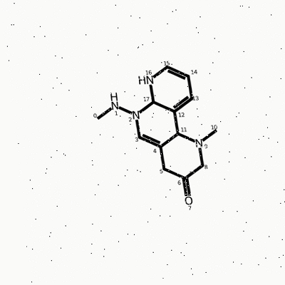 CNN1C=C2CC(=O)CN(C)C2C2=CC=CNC21